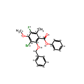 COc1c(F)c(C)c(C(=O)Oc2ccccc2)c(OCc2ccccc2)c1Br